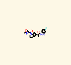 Cc1nc(C(=O)N2CCCc3cc(C(C)C(=O)Nc4ccc(F)cc4)ccc32)co1